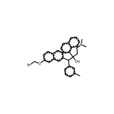 Cc1cccc(C(c2ccc3ccc(OCBr)cc3c2)C(O)(CCN(C)C)c2cccc3ccccc23)c1